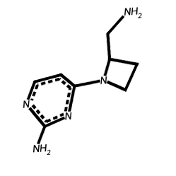 NCC1CCN1c1ccnc(N)n1